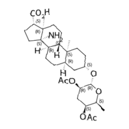 CC(=O)O[C@H]1C[C@@H](OC(C)=O)[C@H](O[C@H]2CC[C@@]3(C)[C@H](CC[C@@H]4[C@@H]3CC[C@]3(C)[C@@H](C(=O)O)CC[C@]43N)C2)O[C@H]1C